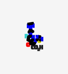 O=C(O)c1cn(-c2ncns2)c2nc(N3CC(n4nccn4)C3)c(F)cc2c1=O